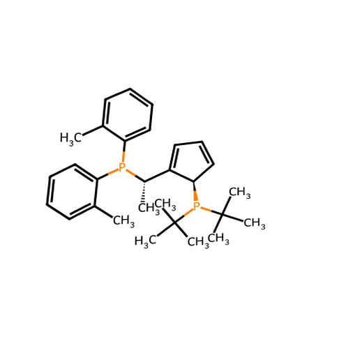 Cc1ccccc1P(c1ccccc1C)[C@@H](C)C1=CC=C[C@H]1P(C(C)(C)C)C(C)(C)C